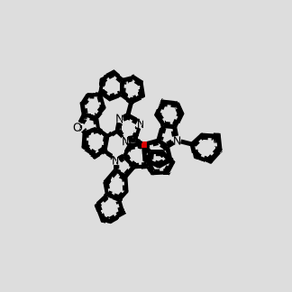 c1ccc(-n2c3ccccc3c3c(-c4nc(-c5cccc6ccccc56)nc(-c5c(-n6c7cc8ccccc8cc7c7c8ccccc8ccc76)ccc6oc7ccccc7c56)n4)cccc32)cc1